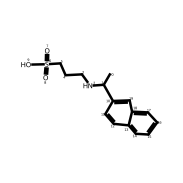 CC(NCCCS(=O)(=O)O)c1ccc2ccccc2c1